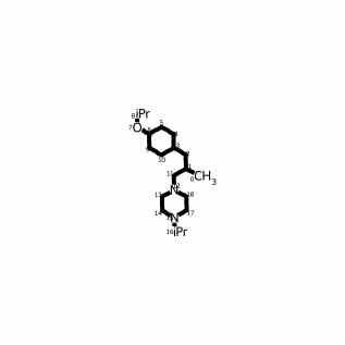 CC(CC1CCC(OC(C)C)CC1)CN1CCN(C(C)C)CC1